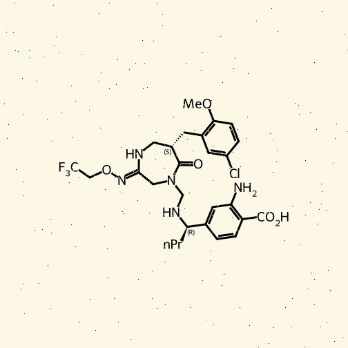 CCC[C@@H](NCN1CC(=NOCC(F)(F)F)NC[C@H](Cc2cc(Cl)ccc2OC)C1=O)c1ccc(C(=O)O)c(N)c1